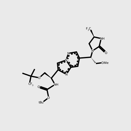 COC[C@H](c1cnn2cc([C@H](COC(C)(C)C(F)(F)F)NC(=O)OC(C)(C)C)nc2c1)N1C[C@@H](C(F)(F)F)NC1=O